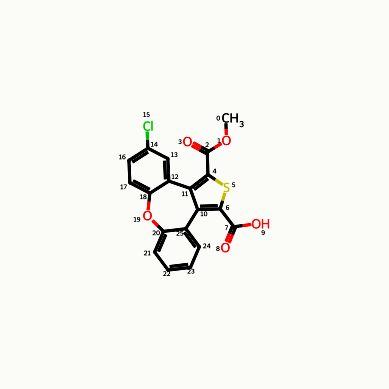 COC(=O)c1sc(C(=O)O)c2c1-c1cc(Cl)ccc1Oc1ccccc1-2